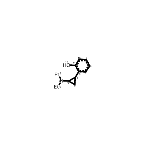 CCN(CC)C1CC1c1ccccc1O